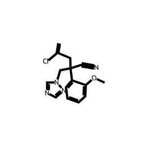 C=C(Cl)CC(C#N)(Cn1cncn1)c1ccccc1OC